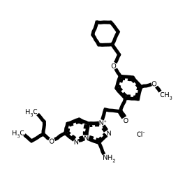 CCC(CC)Oc1ccc2n(n1)c(N)n[n+]2CC(=O)c1cc(OC)cc(OCC2CCCCC2)c1.[Cl-]